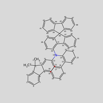 CC1(C)c2ccccc2-c2ccc(N(C3=C(c4ccccc4)C=CCC3)c3cccc4c3-c3ccccc3C43c4ccccc4-c4ccccc43)cc21